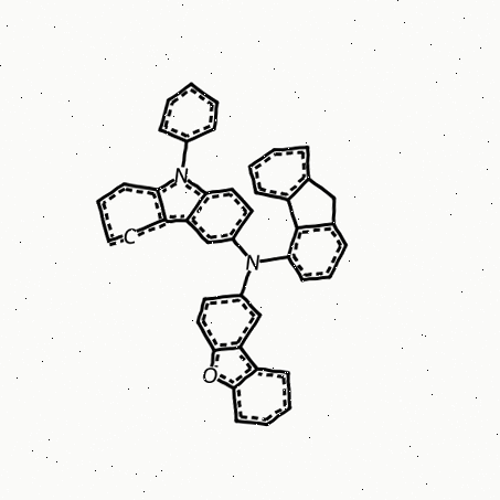 c1ccc(-n2c3ccccc3c3cc(N(c4ccc5oc6ccccc6c5c4)c4cccc5c4-c4ccccc4C5)ccc32)cc1